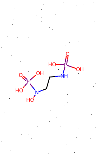 O=P(O)(O)NCCN(O)P(=O)(O)O